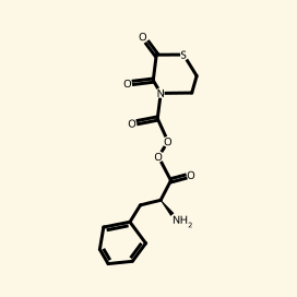 N[C@@H](Cc1ccccc1)C(=O)OOC(=O)N1CCSC(=O)C1=O